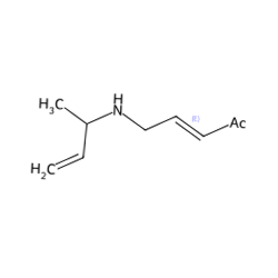 C=CC(C)NC/C=C/C(C)=O